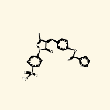 CC1=NN(c2ccc(S(N)(=O)=O)cc2)C(=O)/C1=C\c1ccc(OC(=O)c2cccs2)cc1